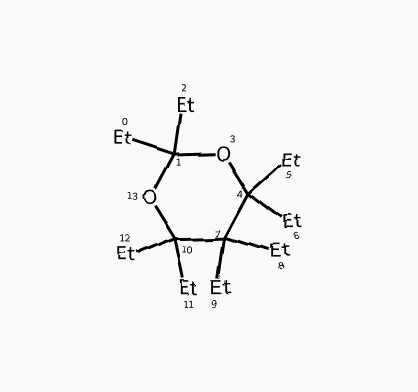 CCC1(CC)OC(CC)(CC)C(CC)(CC)C(CC)(CC)O1